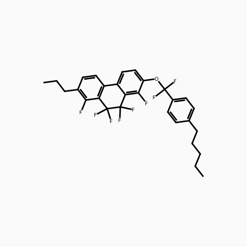 CCCCCc1ccc(C(F)(F)Oc2ccc3c(c2F)C(F)(F)C(F)(F)c2c-3ccc(CCC)c2F)cc1